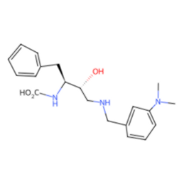 CN(C)c1cccc(CNC[C@@H](O)[C@H](Cc2ccccc2)NC(=O)O)c1